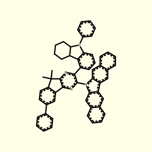 CC1(C)c2ccc(-c3ccccc3)cc2-c2nc(-n3c4cc5ccccc5cc4c4cc5ccccc5cc43)c(-c3cccc4c3C3CCCCC3N4c3ccccc3)nc21